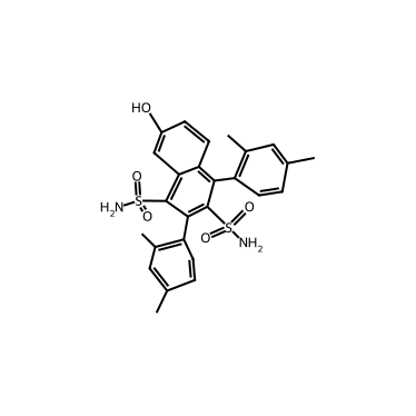 Cc1ccc(-c2c(S(N)(=O)=O)c(-c3ccc(C)cc3C)c3ccc(O)cc3c2S(N)(=O)=O)c(C)c1